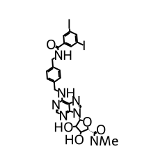 CNC(=O)[C@H]1O[C@@H](n2cnc3c(NCc4ccc(CNC(=O)c5cc(I)cc(I)c5)cc4)ncnc32)C(O)C1O